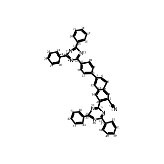 N#Cc1cc2ccc(-c3ccc(-c4nc(-c5ccccc5)nc(-c5ccccc5)n4)cc3)cc2cc1-c1nc(-c2ccccc2)nc(-c2ccccc2)n1